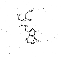 O=c1[nH]cnc2c(CNC[C@H](CO)[C@@H](O)CO)c[nH]c12